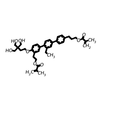 C=C(C)C(=O)OCCCc1ccc(-c2ccc(-c3ccc(OCCC(CO)(CO)CO)c(CCOC(=O)C(=C)C)c3)c(CC)c2)cc1